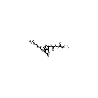 C=CC(=O)OCC(=O)OC1C2OC3C1OC(=O)C3C2CCCCCC